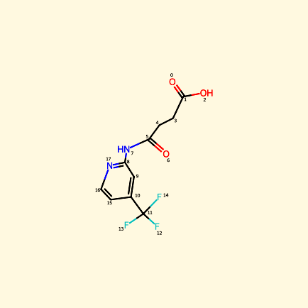 O=C(O)CCC(=O)Nc1cc(C(F)(F)F)ccn1